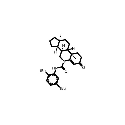 CC(C)(C)c1ccc(C(C)(C)C)c(NC(=O)N2C[C@H]3[C@@H]4CCC[C@@]4(C)CC[C@@H]3[C@@]3(C)CCC(=O)C=C23)c1